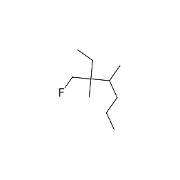 CCCC(C)C(C)(CC)CF